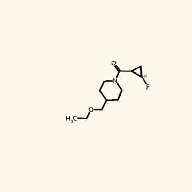 CCOCC1CCN(C(=O)C2C[C@H]2F)CC1